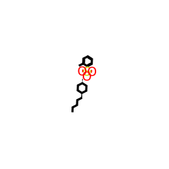 CCCCC[C@H]1CC[C@H](COS(=O)(=O)c2ccccc2C)CC1